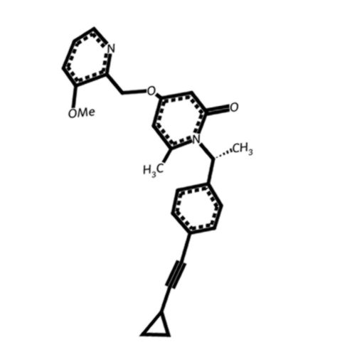 COc1cccnc1COc1cc(C)n([C@H](C)c2ccc(C#CC3CC3)cc2)c(=O)c1